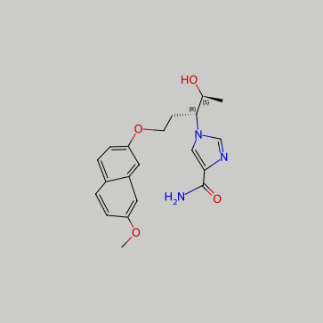 COc1ccc2ccc(OCC[C@H]([C@H](C)O)n3cnc(C(N)=O)c3)cc2c1